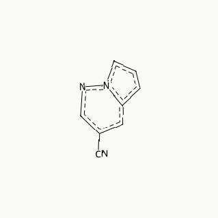 N#Cc1cnn2cccc2c1